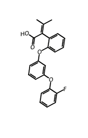 CC(C)=C(C(=O)O)c1ccccc1Oc1cccc(Oc2ccccc2F)c1